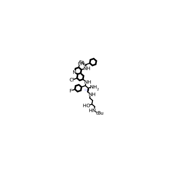 CC[C@@H](Nc1c(C#N)cnc2c(Cl)cc(NC(/C(N)=C/NCCC(O)CNC(C)(C)C)c3ccc(F)cc3)cc12)c1ccccc1